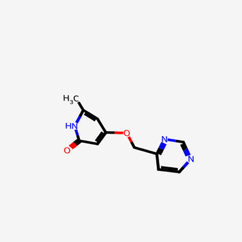 Cc1cc(OCc2ccncn2)cc(=O)[nH]1